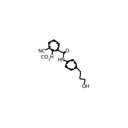 N#Cc1cccc(C(=O)Nc2ccc(CCCO)cc2)c1C(=O)O